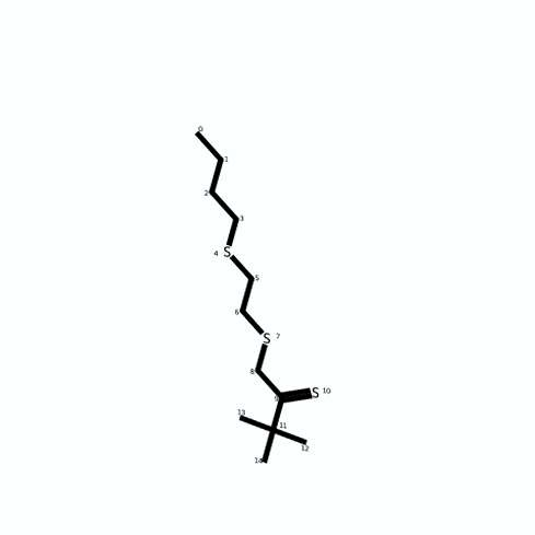 CCCCSCCSCC(=S)C(C)(C)C